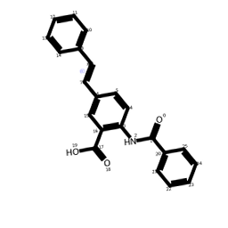 O=C(Nc1ccc(/C=C/c2ccccc2)cc1C(=O)O)c1ccccc1